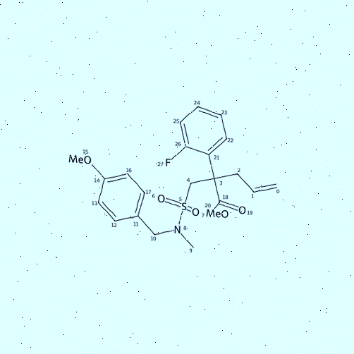 C=CCC(CS(=O)(=O)N(C)Cc1ccc(OC)cc1)(C(=O)OC)c1ccccc1F